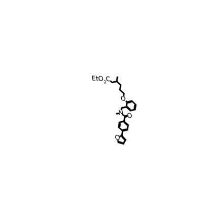 CCOC(=O)CC(C)CCCOc1ccccc1CN(C)C(=O)c1ccc(-c2ccco2)cc1